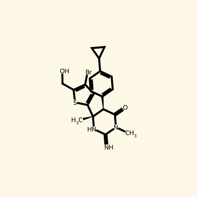 CN1C(=N)N[C@](C)(c2cc(Br)c(CO)s2)[C@@H](c2ccc(C3CC3)cc2)C1=O